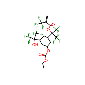 C=C(C(=O)OC(C1CC(OC(=O)OCC)CC(C(O)(C(F)(F)F)C(F)(F)F)C1)(C(F)(F)F)C(F)(F)F)C(F)(F)F